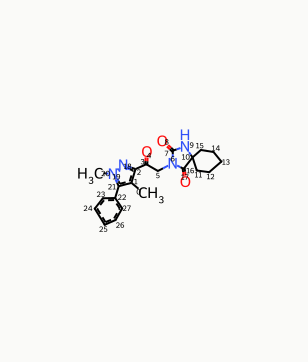 Cc1c(C(=O)CN2C(=O)NC3(CCCCC3)C2=O)nn(C)c1-c1ccccc1